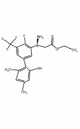 CCOC(=O)C[C@H](N)c1cc(-c2c(C)cc(C)cc2O)cc(C(F)(F)F)c1F